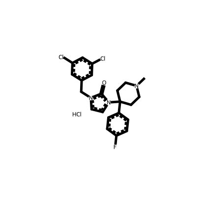 CN1CCC(c2ccc(F)cc2)(n2ccn(Cc3cc(Cl)cc(Cl)c3)c2=O)CC1.Cl